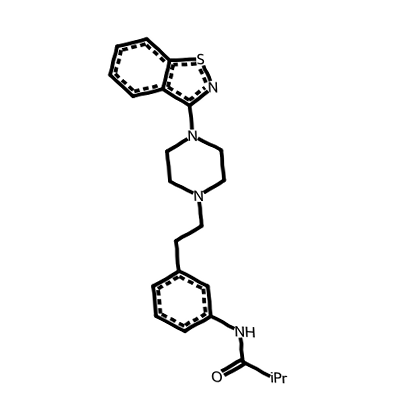 CC(C)C(=O)Nc1cccc(CCN2CCN(c3nsc4ccccc34)CC2)c1